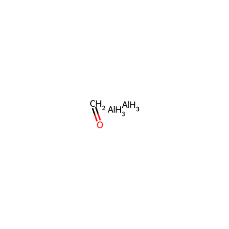 C=O.[AlH3].[AlH3]